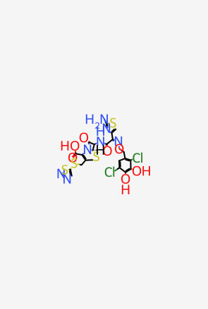 Nc1nc(/C(=N/OCc2cc(Cl)c(O)c(O)c2Cl)C(=O)NC2C(=O)N3C(C(=O)O)=C(CSc4cnns4)CS[C@H]23)cs1